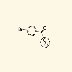 O=C(c1ccc(Br)cc1)C12CCC(CC1)OC2